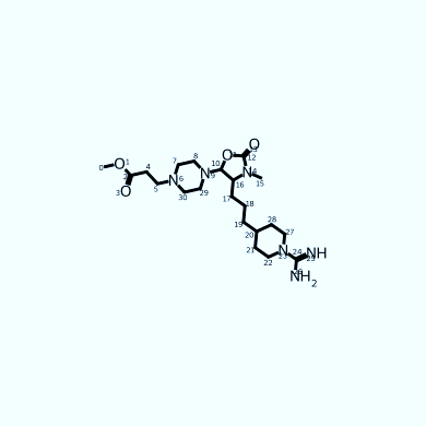 COC(=O)CCN1CCN(C2OC(=O)N(C)C2CCCC2CCN(C(=N)N)CC2)CC1